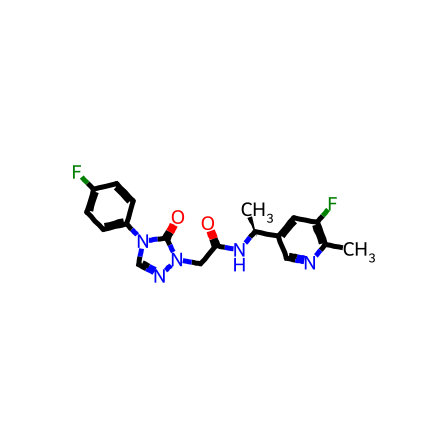 Cc1ncc([C@H](C)NC(=O)Cn2ncn(-c3ccc(F)cc3)c2=O)cc1F